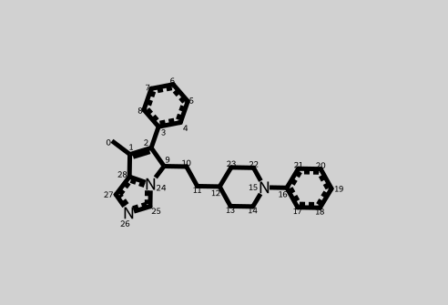 CC1=C(c2ccccc2)C(CCC2CCN(c3ccccc3)CC2)n2cncc21